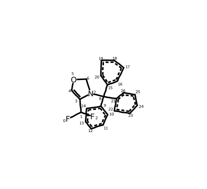 FC(F)C1=COCN1C(c1ccccc1)(c1ccccc1)c1ccccc1